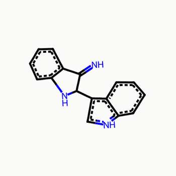 N=C1c2ccccc2NC1c1c[nH]c2ccccc12